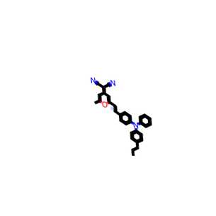 CCCc1ccc(N(c2ccccc2)c2ccc(/C=C/C3=CC(=C(C#N)C#N)C=C(C)O3)cc2)cc1